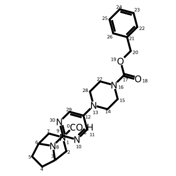 O=C(O)N1CC2CCC(C1)N2c1ncc(N2CCN(C(=O)OCc3ccccc3)CC2)cn1